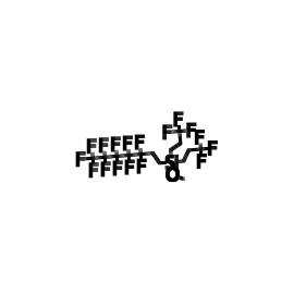 CO[Si](CCC(F)(F)F)(CCC(F)(F)F)CCC(F)(F)C(F)(F)C(F)(F)C(F)(F)C(F)(F)F